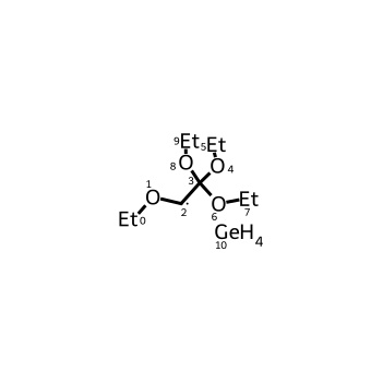 CCO[CH]C(OCC)(OCC)OCC.[GeH4]